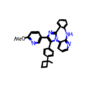 COc1ccc(-c2nc3n(c2-c2ccc(C4(C)CCC4)cc2)-c2cccnc2Nc2ccccc2-3)cn1